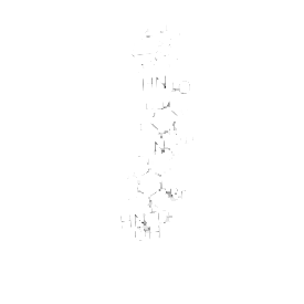 O=C(NCC12CC3CC(CC(C3)C1)C2)c1ccc2c(ccn2Cc2ccc(C(=O)NO)c(Br)c2)c1